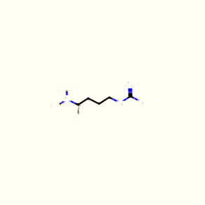 CCN(CC)[C@@H](CCCNC(=N)N)C(=O)O